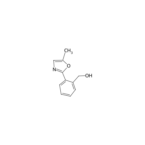 Cc1cnc(-c2ccccc2CO)o1